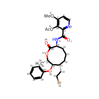 COc1ccnc(C(=O)N[C@H]2CCC[C@H](CCBr)[C@@H](Oc3ccccc3)[C@H](C)OC2=O)c1OC(C)=O